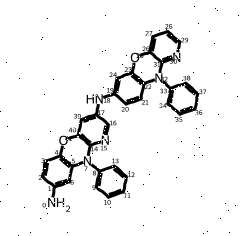 Nc1ccc2c(c1)N(c1ccccc1)c1ncc(Nc3ccc4c(c3)Oc3cccnc3N4c3ccccc3)cc1O2